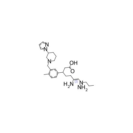 CCCN(N)/C=C(\N)CCC(CC(=O)O)c1ccc(C)c(CN2CCCC(n3cccn3)C2)c1